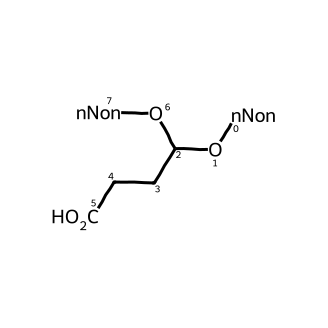 CCCCCCCCCOC(CCC(=O)O)OCCCCCCCCC